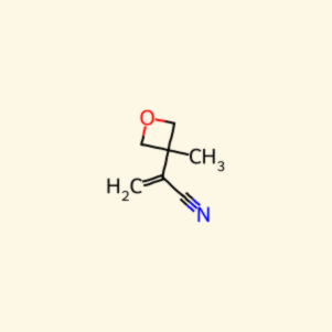 C=C(C#N)C1(C)COC1